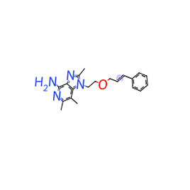 Cc1nc(N)c2nc(C)n(CCOC/C=C/c3ccccc3)c2c1C